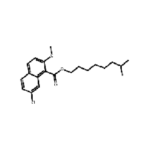 COc1ccc2ccc(Cl)cc2c1C(=O)OCCCCCCC(C)C